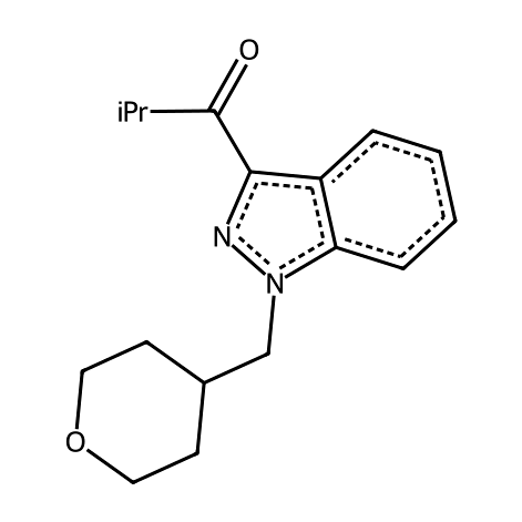 CC(C)C(=O)c1nn(CC2CCOCC2)c2ccccc12